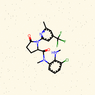 CNc1c(Cl)cccc1N(C)C(=O)C1CCC(=O)N1c1cc(C(F)(F)F)cc(C)n1